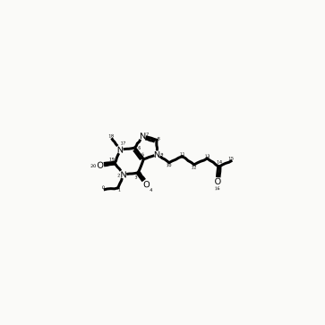 CCn1c(=O)c2c(ncn2CCCCC(C)=O)n(C)c1=O